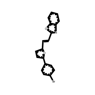 Brc1ccc(-c2ccc(/C=C/c3nc4ccccc4o3)o2)cc1